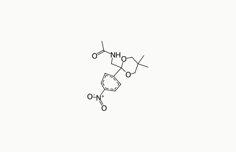 CC(=O)NCC1(c2ccc([N+](=O)[O-])cc2)OCC(C)(C)CO1